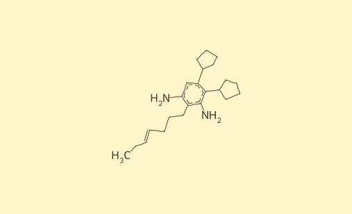 CCC=CCCCc1c(N)cc(C2CCCC2)c(C2CCCC2)c1N